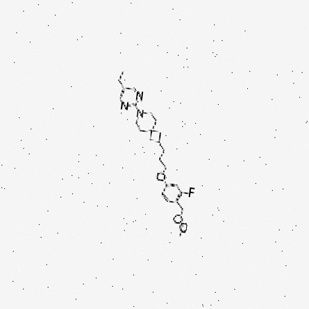 CCc1cnc(N2CCC3(CC2)CC(CCCOc2ccc(COOC)c(F)c2)C3)nc1